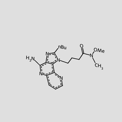 CCCCc1nc2c(N)nc3cccnc3c2n1CCCC(=O)N(C)OC